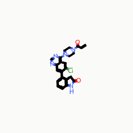 C=CC(=O)N1CCN(c2ncnc3cc(-c4cccc5c4CC(=O)N5)c(Cl)cc23)CC1